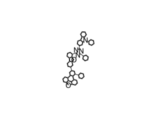 c1ccc(-c2nc(-c3ccc4c5ccccc5n(-c5ccccc5)c4c3)nc(-c3cccc4c3oc3cc(-c5cc(-c6ccccc6)c6c(c5)c5cccc7oc8cccc6c8c75)ccc34)n2)cc1